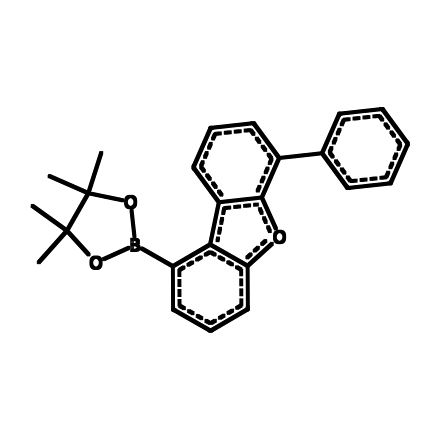 CC1(C)OB(c2cccc3oc4c(-c5ccccc5)cccc4c23)OC1(C)C